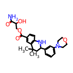 CC1(C)CC(c2cccc(N3CCOCC3)c2)Nc2ccc(C(=O)OCC(O)C(N)=O)cc21